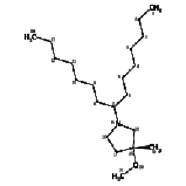 CCCCCCCC(CCCCCCC)N1CC[C@@](C)(OC)C1